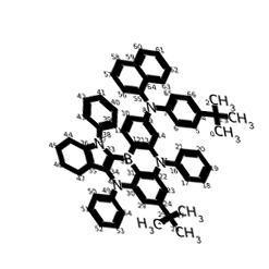 CC(C)(C)c1ccc(N(c2ccc3c(c2)N(c2ccccc2)c2cc(C(C)(C)C)cc4c2B3c2c(c3c(n2-c2ccccc2)CCCC3)N4c2ccccc2)c2cccc3ccccc23)cc1